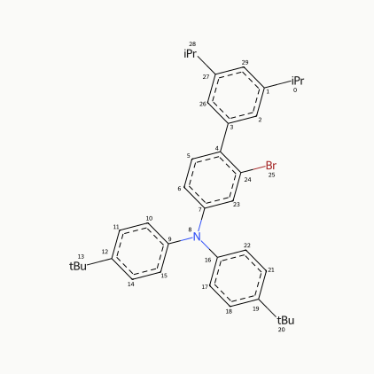 CC(C)c1cc(-c2ccc(N(c3ccc(C(C)(C)C)cc3)c3ccc(C(C)(C)C)cc3)cc2Br)cc(C(C)C)c1